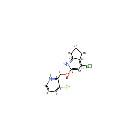 Fc1cccnc1COc1cc(Cl)c2c(n1)CCC2